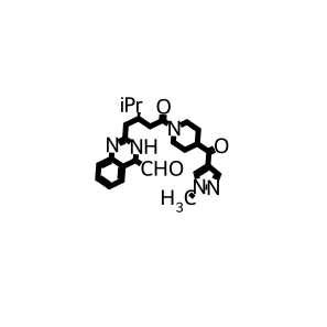 CC(C)[C@@H](CC(=O)N1CCC(C(=O)c2cnn(C)c2)CC1)CC1=Nc2ccccc2C(C=O)N1